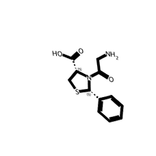 NCC(=O)N1[C@@H](C(=O)O)CS[C@H]1c1ccccc1